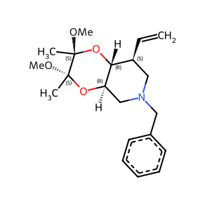 C=C[C@H]1CN(Cc2ccccc2)C[C@H]2O[C@](C)(OC)[C@@](C)(OC)O[C@H]12